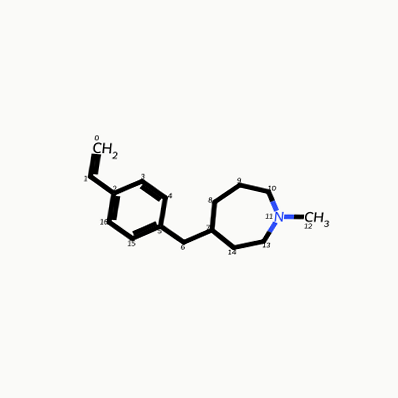 C=Cc1ccc(CC2CCCN(C)CC2)cc1